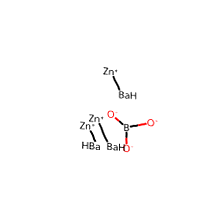 [O-]B([O-])[O-].[Zn+][BaH].[Zn+][BaH].[Zn+][BaH]